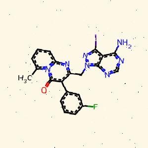 Cc1cccc2nc(Cn3nc(I)c4c(N)ncnc43)c(-c3cccc(F)c3)c(=O)n12